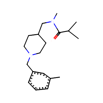 Cc1cccc(CN2CCC(CN(C)C(=O)C(C)C)CC2)c1